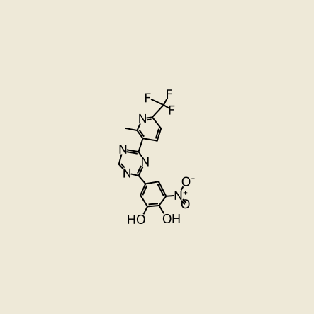 Cc1nc(C(F)(F)F)ccc1-c1ncnc(-c2cc(O)c(O)c([N+](=O)[O-])c2)n1